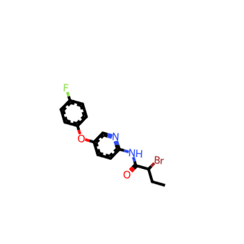 CCC(Br)C(=O)Nc1ccc(Oc2ccc(F)cc2)cn1